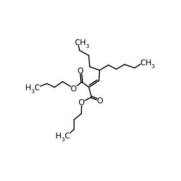 CCCCCC(C=C(C(=O)OCCCC)C(=O)OCCCC)CCCC